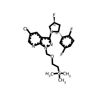 C[Si](C)(C)CCOCn1nc(N2C[C@@H](F)C[C@@H]2c2cc(F)ccc2F)c2cc(Cl)cnc21